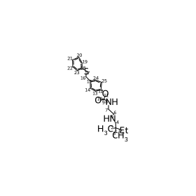 CCC(C)(C)CNCCNC(=O)Oc1ccc(CSc2ccccc2)cc1